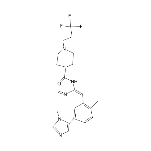 C=N/C(=C\c1cc(-c2cncn2C)ccc1C)NC(=O)C1CCN(CCC(F)(F)F)CC1